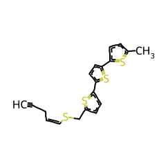 C#CC/C=C\SCc1ccc(-c2ccc(-c3ccc(C)s3)s2)s1